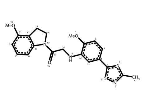 COc1ccc(-c2nc(C)ns2)cc1NCC(=O)N1CCc2c(OC)cccc21